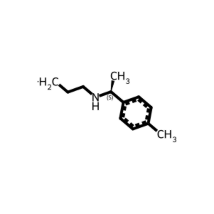 [CH2]CCN[C@@H](C)c1ccc(C)cc1